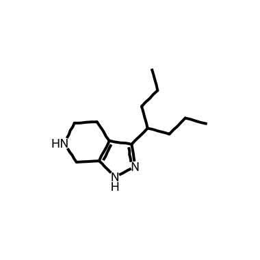 CCCC(CCC)c1n[nH]c2c1CCNC2